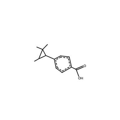 CC1C(c2ccc(C(=O)O)cc2)C1(C)C